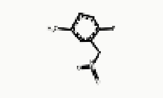 Cc1ccc(F)c(C[SH](=O)=O)c1